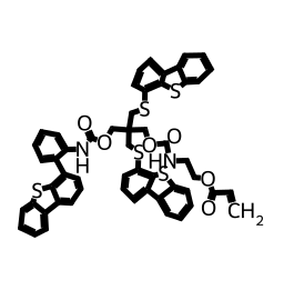 C=CC(=O)OCCNC(=O)OCC(COC(=O)Nc1ccccc1-c1cccc2c1sc1ccccc12)(CSc1cccc2c1sc1ccccc12)CSc1cccc2c1sc1ccccc12